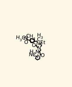 CC[C@H]1CN(CC(N)C(=O)N2CCCC2C#N)CC(=O)N1C(C)c1ccc(C(=O)N(C)C)cc1